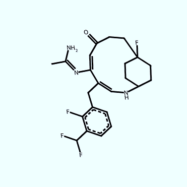 C/C(N)=N/C1=C/C(=O)CCC2(F)CCC(CC2)N/C=C\1Cc1cccc(C(F)F)c1F